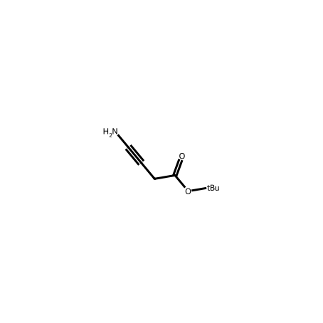 CC(C)(C)OC(=O)CC#CN